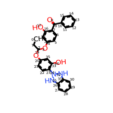 CCC(Oc1ccc(C(=O)c2ccccc2)c(O)c1)Oc1ccc(N2Nc3ccccc3N2)c(O)c1